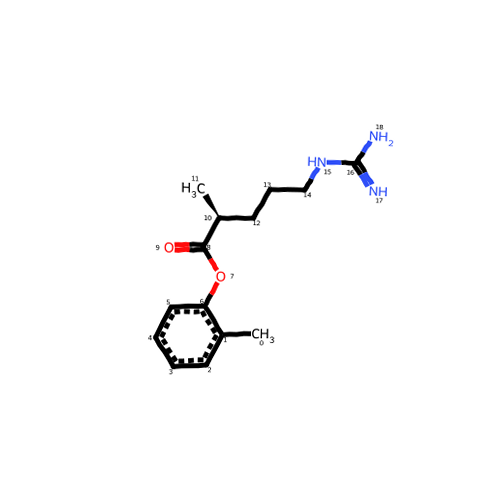 Cc1ccccc1OC(=O)[C@@H](C)CCCNC(=N)N